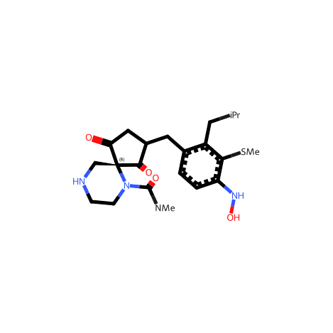 CNC(=O)N1CCNC[C@]12C(=O)CC(Cc1ccc(NO)c(SC)c1CC(C)C)C2=O